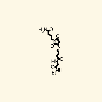 CCNC(=O)CNC(=O)CCCSC1CC(=O)N(CCCC(N)=O)C1=O